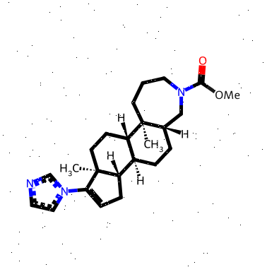 COC(=O)N1CCC[C@@]2(C)[C@@H](CC[C@@H]3[C@@H]2CC[C@]2(C)C(n4ccnc4)=CC[C@@H]32)C1